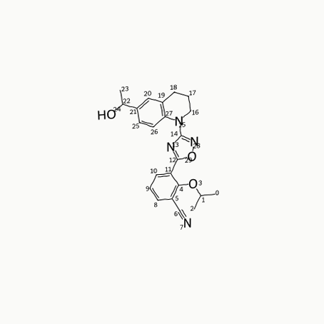 CC(C)Oc1c(C#N)cccc1-c1nc(N2CCCc3cc(C(C)O)ccc32)no1